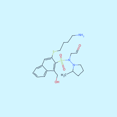 CC1CCCN1N(CC=O)S(=O)(=O)c1c(SCCCCN)cc2ccccc2c1CO